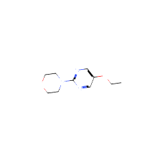 CCOc1cnc(N2CCOCC2)nc1